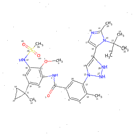 COc1c(NC(=O)c2ccc(C)c(N3C=C(c4cnc(C)n4C(C)(C)C)NN3)c2)cc(C2(C)CC2)cc1NS(C)(=O)=O